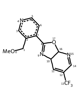 COCc1cnccc1C1=NC2C=C(C(F)(F)F)C=NC2O1